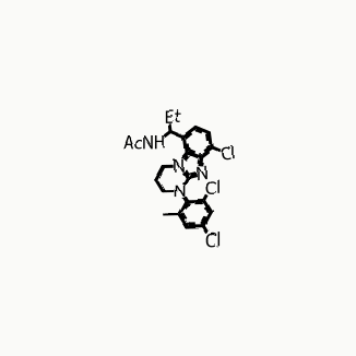 CCC(NC(C)=O)c1ccc(Cl)c2nc3n(c12)CCCN3c1c(C)cc(Cl)cc1Cl